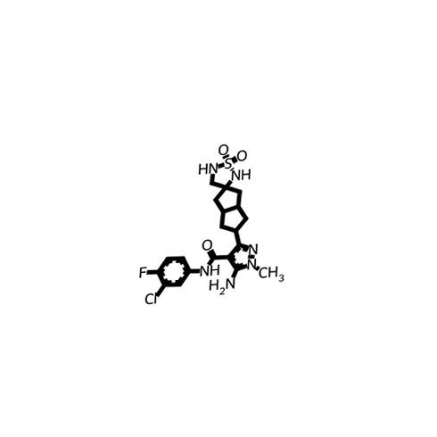 Cn1nc(C2CC3CC4(CNS(=O)(=O)N4)CC3C2)c(C(=O)Nc2ccc(F)c(Cl)c2)c1N